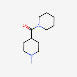 CN1CCC(C(=O)N2CCCCC2)CC1